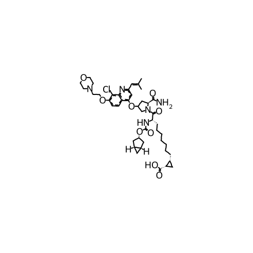 CC(C)=Cc1cc(OC2C[C@@H](C(N)=O)N(C(=O)[C@H](CCCCCCC[C@@H]3C[C@@H]3C(=O)O)NC(=O)O[C@@H]3C[C@@H]4C[C@@H]4C3)C2)c2ccc(OCCN3CCOCC3)c(Cl)c2n1